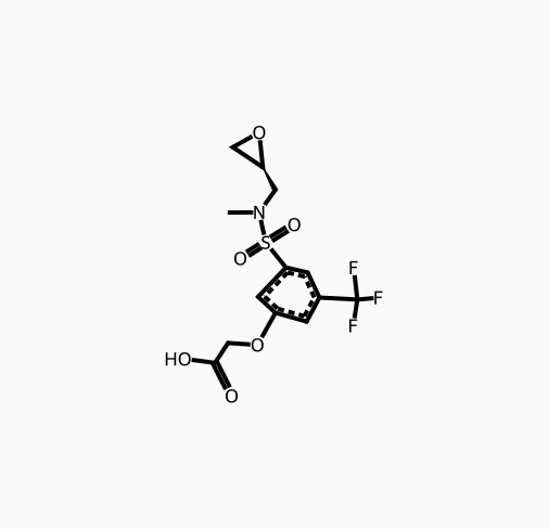 CN(C[C@H]1CO1)S(=O)(=O)c1cc(OCC(=O)O)cc(C(F)(F)F)c1